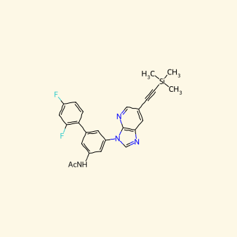 CC(=O)Nc1cc(-c2ccc(F)cc2F)cc(-n2cnc3cc(C#C[Si](C)(C)C)cnc32)c1